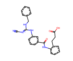 N#C/N=C(\NCc1ccccc1)Nc1cccc(C(=O)Nc2ccccc2CCC(=O)O)c1